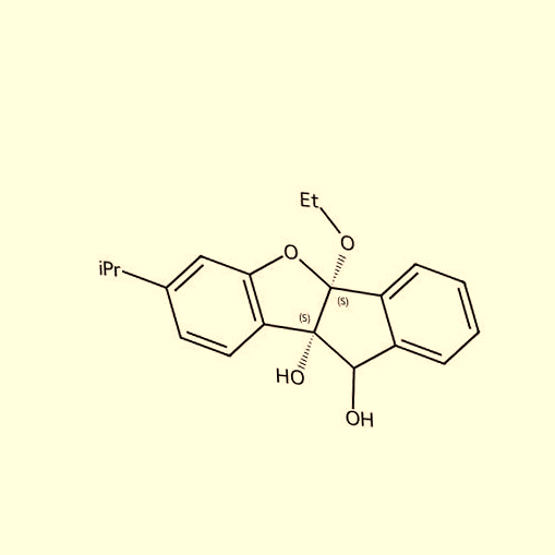 CCO[C@@]12Oc3cc(C(C)C)ccc3[C@]1(O)C(O)c1ccccc12